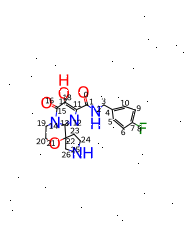 O=C(NCc1ccc(F)cc1)c1nc2n(c(=O)c1O)CCOC21CCNC1